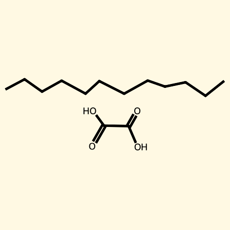 CCCCCCCCCCCC.O=C(O)C(=O)O